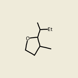 CCC(C)C1OCCC1C